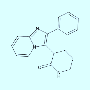 O=C1NCCCC1c1c(-c2ccccc2)nc2ccccn12